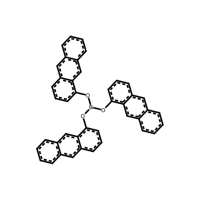 c1ccc2cc3c([O][Bi]([O]c4cccc5cc6ccccc6cc45)[O]c4cccc5cc6ccccc6cc45)cccc3cc2c1